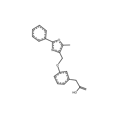 C=C(O)Cc1cccc(OCc2nc(-c3ccccc3)oc2C)c1